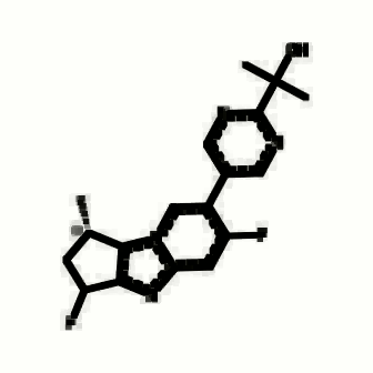 C[C@H]1CC(F)c2nc3cc(F)c(-c4cnc(C(C)(C)O)nc4)cn3c21